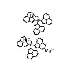 CC[B-](C1=Cc2cccc3cccc1c23)(C1=Cc2cccc3cccc1c23)C1=Cc2cccc3cccc1c23.CC[B-](C1=Cc2cccc3cccc1c23)(C1=Cc2cccc3cccc1c23)C1=Cc2cccc3cccc1c23.[Mg+2]